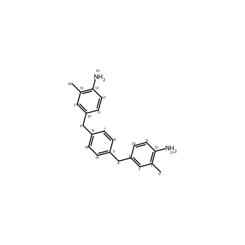 Cc1cc(Cc2ccc(Cc3ccc(N)c(C)c3)cc2)ccc1N